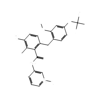 COc1cc(OC(F)(F)F)ccc1Cc1ccc(C)c(Cl)c1C(=O)Nc1ccc[n+]([O-])c1